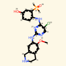 COc1cc2c(cc1Nc1ncc(Cl)c(Nc3ccc(O)cc3P(C)(C)=O)n1)CNCC2